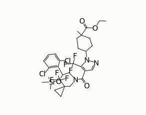 CCOC(=O)C1(C)CCC(n2ncc(C(=O)N(CC(O[Si](C)(C)C)c3c(Cl)cccc3Cl)CC3(C(F)(F)F)CC3)c2C(F)(F)F)CC1